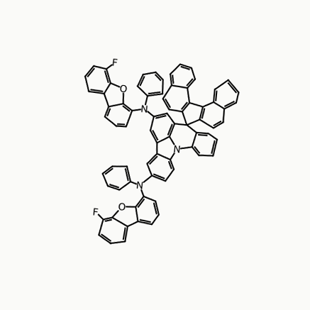 Fc1cccc2c1oc1c(N(c3ccccc3)c3ccc4c(c3)c3cc(N(c5ccccc5)c5cccc6c5oc5c(F)cccc56)cc5c3n4-c3ccccc3C53c4ccc5ccccc5c4-c4c3ccc3ccccc43)cccc12